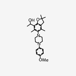 COc1ccc(N2CCN(c3c(C)c4c(c(C(C)O)c3C)OC(C)(C)C4)CC2)cc1